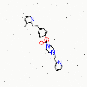 Cc1cccnc1CCc1ccc(OC(=O)N2CCN(CCc3ccccn3)CC2)cc1